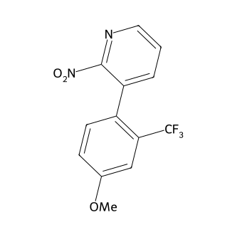 COc1ccc(-c2cccnc2[N+](=O)[O-])c(C(F)(F)F)c1